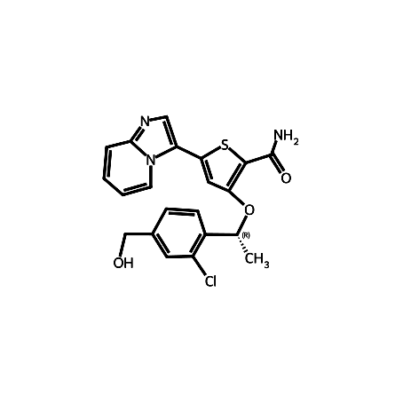 C[C@@H](Oc1cc(-c2cnc3ccccn23)sc1C(N)=O)c1ccc(CO)cc1Cl